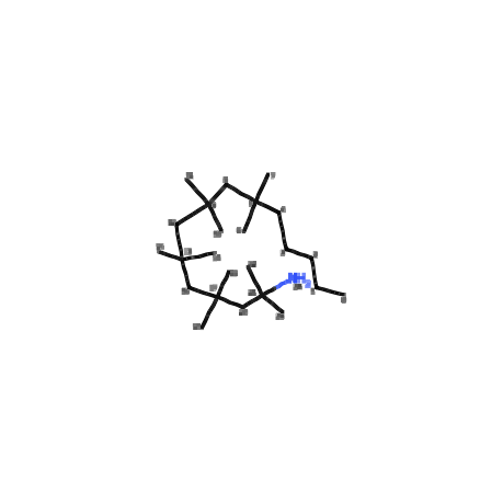 CCCCCC(C)(C)CC(C)(C)CC(C)(C)CC(C)(C)CC(C)(C)N